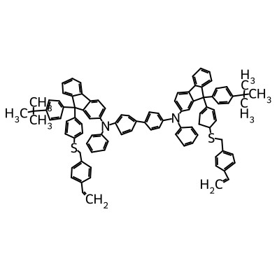 C=Cc1ccc(CSc2ccc(C3(c4ccc(C(C)(C)C)cc4)c4ccccc4-c4ccc(N(c5ccccc5)c5ccc(-c6ccc(N(c7ccccc7)c7ccc8c(c7)C(C7=CCC(SCc9ccc(C=C)cc9)C=C7)(c7ccc(C(C)(C)C)cc7)c7ccccc7-8)cc6)cc5)cc43)cc2)cc1